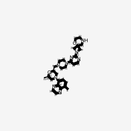 Cc1ccc(N2C[C@H](CN3CCN(c4ccnc(N5CC6(CNCCO6)C5)n4)CC3)O[C@H](C)C2)c2nccnc12